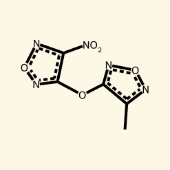 Cc1nonc1Oc1nonc1[N+](=O)[O-]